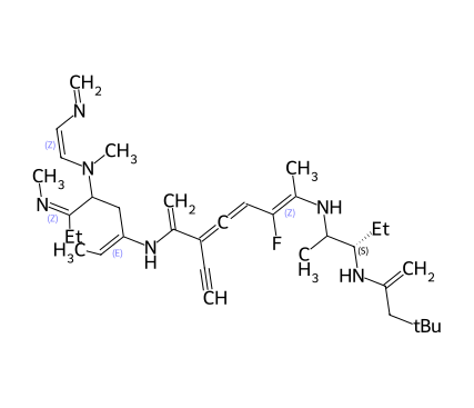 C#CC(=C=C/C(F)=C(\C)NC(C)[C@H](CC)NC(=C)CC(C)(C)C)C(=C)N/C(=C/C)CC(/C(CC)=N\C)N(C)/C=C\N=C